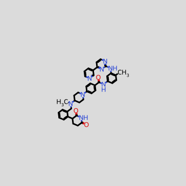 Cc1ccc(NC(=O)c2ccc(N3CCC(N(C)Cc4ccccc4C4CCC(=O)NC4=O)CC3)cc2)cc1Nc1nccc(-c2cccnc2)n1